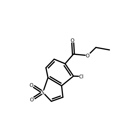 CCOC(=O)c1ccc2c(c1Cl)C=CS2(=O)=O